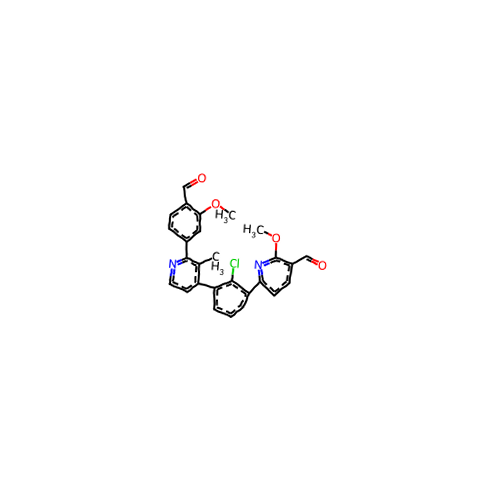 COc1cc(-c2nccc(-c3cccc(-c4ccc(C=O)c(OC)n4)c3Cl)c2C)ccc1C=O